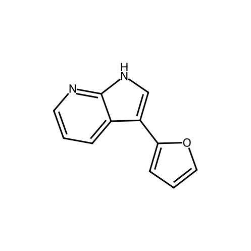 c1coc(-c2c[nH]c3ncccc23)c1